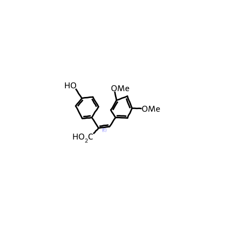 COc1cc(/C=C(/C(=O)O)c2ccc(O)cc2)cc(OC)c1